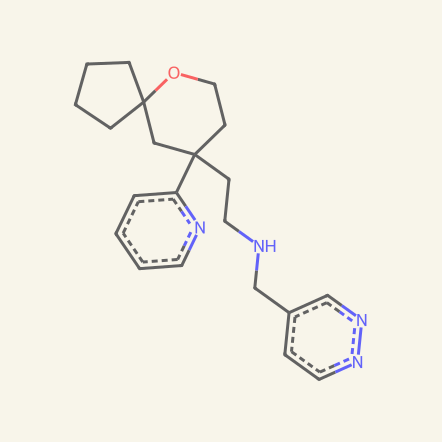 c1ccc(C2(CCNCc3ccnnc3)CCOC3(CCCC3)C2)nc1